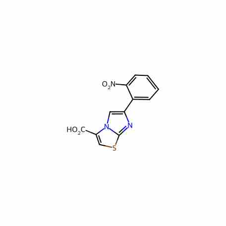 O=C(O)c1csc2nc(-c3ccccc3[N+](=O)[O-])cn12